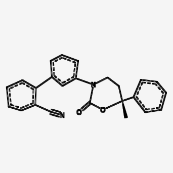 C[C@]1(c2ccccc2)CCN(c2cccc(-c3ccccc3C#N)c2)C(=O)O1